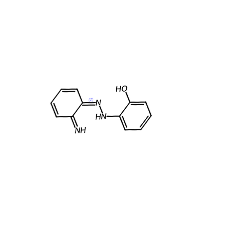 N=C1C=CC=C/C1=N/Nc1ccccc1O